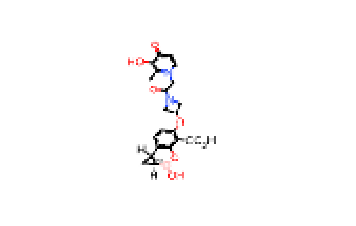 Cc1c(O)c(=O)ccn1CC(=O)N1CC(Oc2ccc3c(c2C(=O)O)OB(O)[C@@H]2C[C@H]32)C1